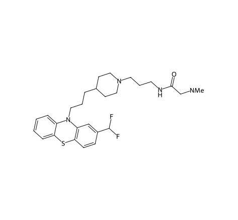 CNCC(=O)NCCCN1CCC(CCCN2c3ccccc3Sc3ccc(C(F)F)cc32)CC1